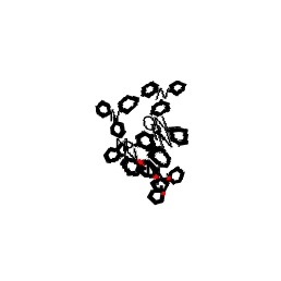 O=P1(c2ccc(P3N(c4ccc(N(c5ccccc5)c5ccccc5)cc4)c4ccccc4N3c3ccc(N(c4ccccc4)c4ccccc4)cc3)cc2)N(c2ccc(N(c3ccccc3)c3ccccc3)cc2)c2ccccc2N1c1ccc(N(c2ccccc2)c2ccccc2)cc1